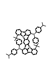 CC(C)c1ccc(N(c2ccccc2)c2ccc3c4cccc(C(C)(C)C)c4n4c5cc6c7c(N(c8ccccc8)c8ccc(C(C)C)cc8)ccc8c9cccc(C(C)(C)C)c9n(c6cc5c2c34)c87)cc1